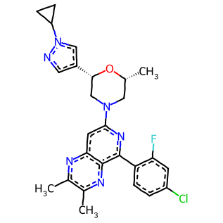 Cc1nc2cc(N3C[C@@H](C)O[C@@H](c4cnn(C5CC5)c4)C3)nc(-c3ccc(Cl)cc3F)c2nc1C